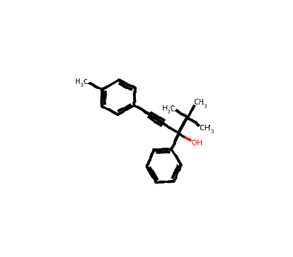 Cc1ccc(C#CC(O)(c2ccccc2)C(C)(C)C)cc1